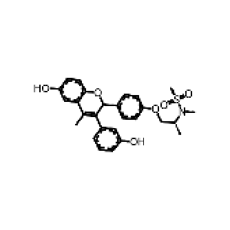 CC1=C(c2cccc(O)c2)C(c2ccc(OC[C@H](C)N(C)S(C)(=O)=O)cc2)Oc2ccc(O)cc21